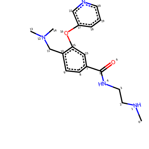 CNCCNC(=O)c1ccc(CN(C)C)c(Oc2cccnc2)c1